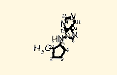 CC1CCCC1Nn1cnc2cncnc21